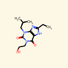 CCc1nc2c([nH]1)c(=O)n(CCO)c(=O)n2CC(C)C